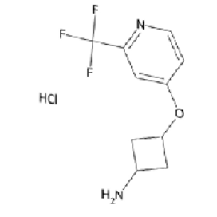 Cl.NC1CC(Oc2ccnc(C(F)(F)F)c2)C1